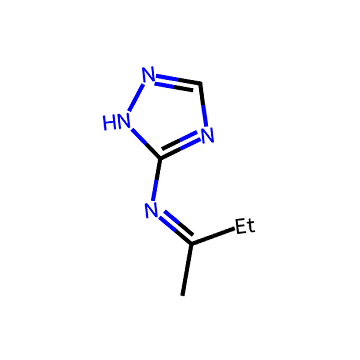 CC/C(C)=N\c1ncn[nH]1